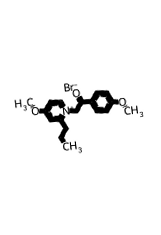 CCCc1cc(OC)cc[n+]1CC(=O)c1ccc(OC)cc1.[Br-]